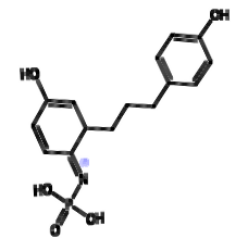 O=P(O)(O)/N=C1\C=CC(O)=CC1CCCc1ccc(O)cc1